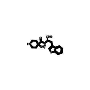 NC1(C(=O)N[C@@H](C=O)Cc2csc3ccccc23)CCNCC1